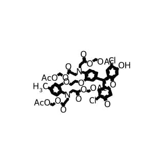 CC(=O)OCOC(=O)CN(CC(=O)OCOC(C)=O)c1ccc(C)cc1OCCOc1cc(-c2c3cc(Cl)c(=O)cc-3oc3cc(O)c(Cl)cc23)ccc1N(CC(=O)OCOC(C)=O)CC(=O)OCOC(C)=O